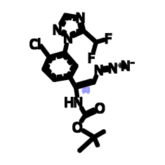 CC(C)(C)OC(=O)N/C(=C/N=[N+]=[N-])c1ccc(Cl)c(-n2ncnc2C(F)F)c1